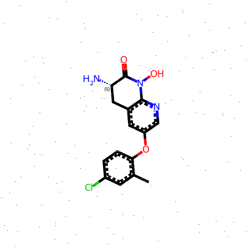 Cc1cc(Cl)ccc1Oc1cnc2c(c1)C[C@H](N)C(=O)N2O